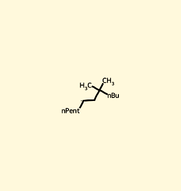 C[CH]CCC(C)(C)C[CH]CCCCC